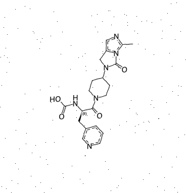 Cc1ncc2n1C(=O)N(C1CCN(C(=O)[C@@H](Cc3cccnc3)NC(=O)O)CC1)C2